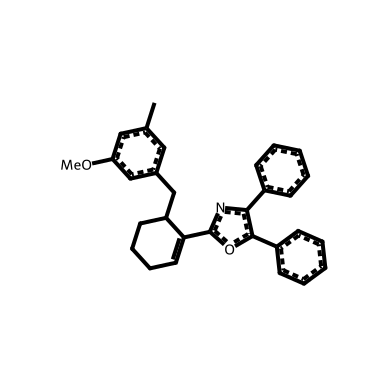 COc1cc(C)cc(CC2CCCC=C2c2nc(-c3ccccc3)c(-c3ccccc3)o2)c1